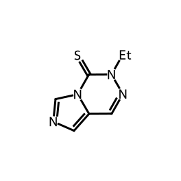 CCn1ncc2cncn2c1=S